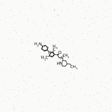 CCC1CCNC(N(C)CC(=O)c2cc(C)n(-c3ccc(N)cc3)c2C)C1